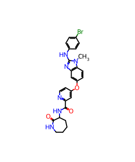 Cn1c(Nc2ccc(Br)cc2)nc2cc(Oc3ccnc(C(=O)NC4CCCCNC4=O)c3)ccc21